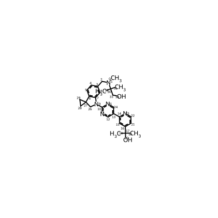 CN(Cc1ccc2c(c1)N(c1ncc(-c3cc(C(C)(C)O)ccn3)cn1)CC21CC1)C(C)(C)CO